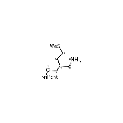 CCCCCOCC(CN)CCSC